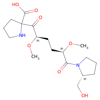 CO[C@H](CC[C@@H](OC)C(=O)C1(C(=O)O)CCCN1)C(=O)N1CCC[C@@H]1CO